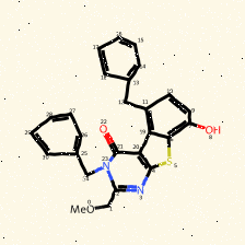 COCc1nc2sc3c(O)ccc(Cc4ccccc4)c3c2c(=O)n1Cc1ccccc1